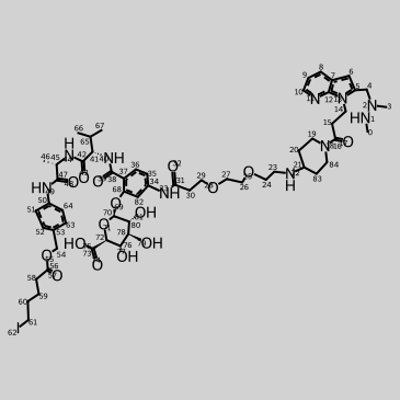 CNN(C)Cc1cc2cccnc2n1CCC(=O)N1CCC(NCCOCCOCCC(=O)Nc2ccc(C(=O)N[C@H](C(=O)N[C@@H](C)C(=O)Nc3ccc(COC(=O)CCCCI)cc3)C(C)C)c(O[C@@H]3O[C@H](C(=O)O)[C@@H](O)[C@H](O)[C@H]3O)c2)CC1